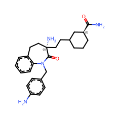 NC(=O)[C@H]1CCCC(CC[C@]2(N)CCc3ccccc3N(Cc3ccc(N)cc3)C2=O)C1